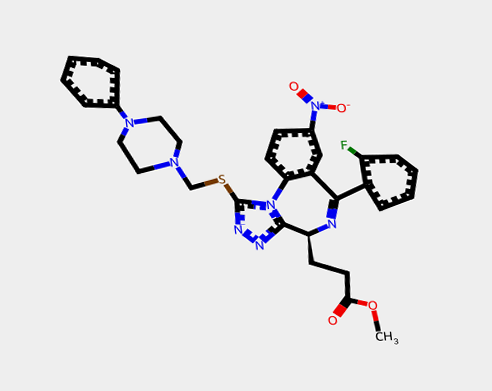 COC(=O)CC[C@@H]1N=C(c2ccccc2F)c2cc([N+](=O)[O-])ccc2-n2c(SCN3CCN(c4ccccc4)CC3)nnc21